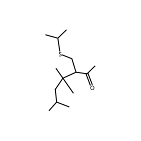 CC(=O)C(CSC(C)C)C(C)(C)CC(C)C